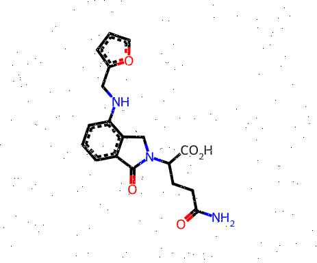 NC(=O)CCC(C(=O)O)N1Cc2c(NCc3ccco3)cccc2C1=O